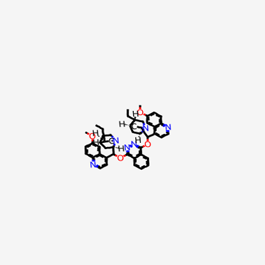 CC[C@@H]1CN2CC[C@@H]1C[C@@H]2C(Oc1nnc(OC(c2ccnc3ccc(OC)cc23)[C@H]2C[C@@H]3CCN2C[C@@H]3CC)c2ccccc12)c1ccnc2ccc(OC)cc12